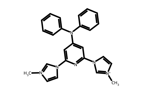 C[n+]1ccn(-c2cc(N(c3ccccc3)c3ccccc3)cc(-n3cc[n+](C)c3)n2)c1